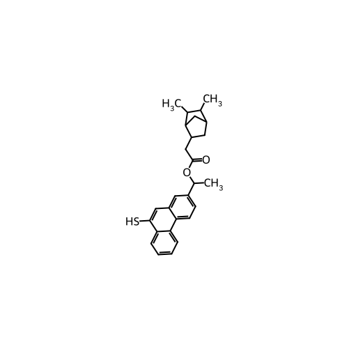 CC(OC(=O)CC1CC2CC1C(C)C2C)c1ccc2c(c1)cc(S)c1ccccc12